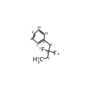 CCC(F)(F)Cc1ccccc1